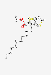 CCCCCCCCCCCc1c(C(=O)OCC)sc2ccsc12